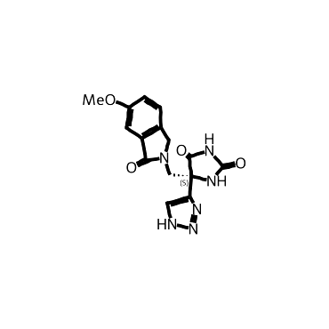 COc1ccc2c(c1)C(=O)N(C[C@@]1(c3c[nH]nn3)NC(=O)NC1=O)C2